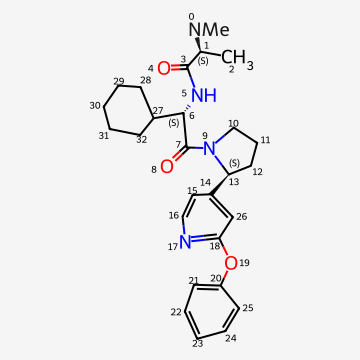 CN[C@@H](C)C(=O)N[C@H](C(=O)N1CCC[C@H]1c1ccnc(Oc2ccccc2)c1)C1CCCCC1